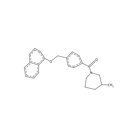 CC1CCCN(C(=O)c2ccc(COc3cccc4ccccc34)cc2)C1